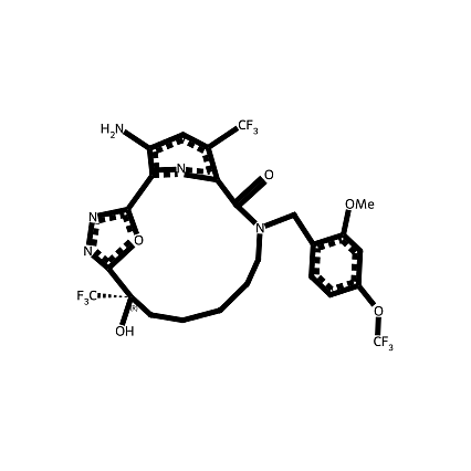 COc1cc(OC(F)(F)F)ccc1CN1CCCCC[C@](O)(C(F)(F)F)c2nnc(o2)-c2nc(c(C(F)(F)F)cc2N)C1=O